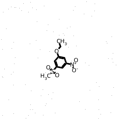 CCOc1cc([N+](=O)[O-])cc(S(C)(=O)=O)c1